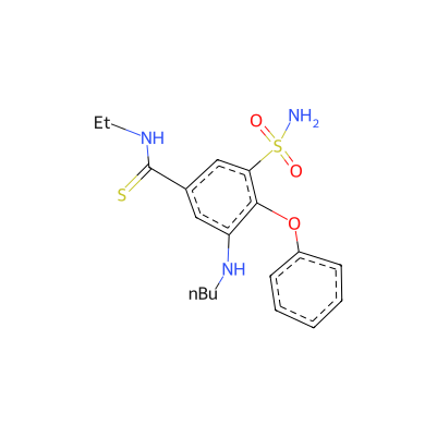 CCCCNc1cc(C(=S)NCC)cc(S(N)(=O)=O)c1Oc1ccccc1